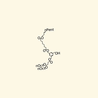 CCCCCC=CCCOC(=O)CCCCCCC(=O)OCc1cc(CO)cc(COC(=O)CCC(OCCCCCCCC)OCCCCCCCC)c1